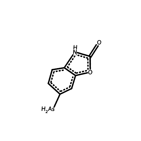 O=c1[nH]c2ccc([AsH2])cc2o1